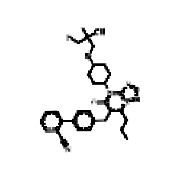 CCCc1c(Cc2ccc(-c3ccccc3C#N)cc2)c(=O)n([C@H]2CC[C@H](OCC(C)(O)CF)CC2)c2ncnn12